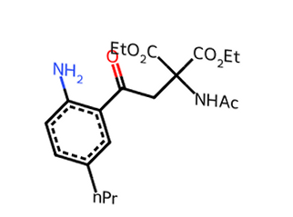 CCCc1ccc(N)c(C(=O)CC(NC(C)=O)(C(=O)OCC)C(=O)OCC)c1